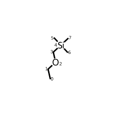 CCOC[Si](C)(C)C